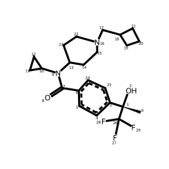 C[C@](O)(c1ccc(C(=O)N(C2CC2)C2CCN(CC3CCC3)CC2)cc1)C(F)(F)F